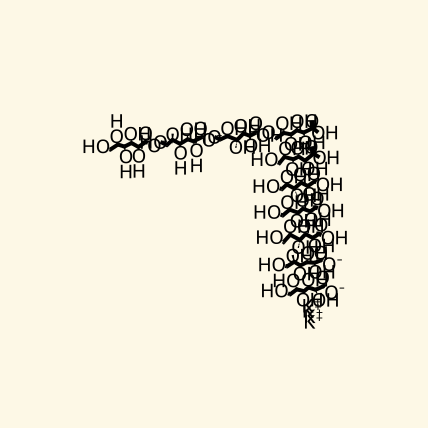 O=C(O)[C@H](O)[C@@H](O)[C@H](O)[C@H](O)CO.O=C(O)[C@H](O)[C@@H](O)[C@H](O)[C@H](O)CO.O=C(O)[C@H](O)[C@@H](O)[C@H](O)[C@H](O)CO.O=C(O)[C@H](O)[C@@H](O)[C@H](O)[C@H](O)CO.O=C(O)[C@H](O)[C@@H](O)[C@H](O)[C@H](O)CO.O=C(O)[C@H](O)[C@@H](O)[C@H](O)[C@H](O)CO.O=C([O-])[C@H](O)[C@@H](O)[C@H](O)[C@H](O)CO.O=C([O-])[C@H](O)[C@@H](O)[C@H](O)[C@H](O)CO.O=C([O-])[C@H](O)[C@@H](O)[C@H](O)[C@H](O)CO.O=C([O-])[C@H](O)[C@@H](O)[C@H](O)[C@H](O)CO.[K+].[K+].[K+].[K+]